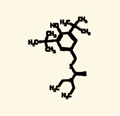 CCN(CC)C(=S)SCc1cc(C(C)(C)C)c(O)c(C(C)(C)C)c1